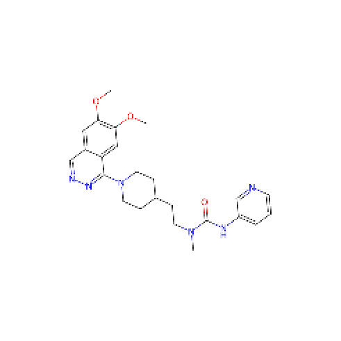 COc1cc2cnnc(N3CCC(CCN(C)C(=O)Nc4cccnc4)CC3)c2cc1OC